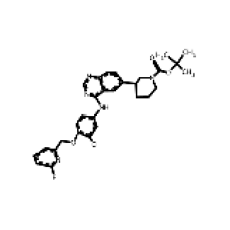 CC(C)(C)OC(=O)N1CCCC(c2ccc3ncnc(Nc4ccc(OCc5cccc(F)n5)c(Cl)c4)c3c2)C1